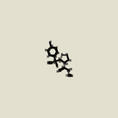 Cc1ccc([C@@](C)(O)[C@@H]2CCCN2C(=O)OC(C)(C)C)cc1